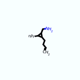 C=CCCC1C(CN)C1CCC